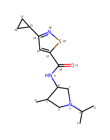 CC1CN(C(C)C)CC1NC(=O)c1cc(C2CC2)ns1